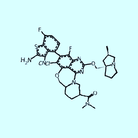 C[C@H]1CN2CCC[C@@]2(COc2nc3c4c(c(Cl)c(-c5ccc(F)c6sc(N)c(C#N)c56)c(F)c4n2)OCC2CCC(C(=O)N(C)C)CN32)C1